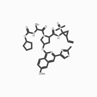 C=CC1CC1(NC(=O)C1CC(Oc2nc(-c3csc(C)n3)cc3cc(OC)ccc23)CN1C(=O)C(NC(=O)OC1CCCC1)C(C)(C)C)P(C)(C)=O